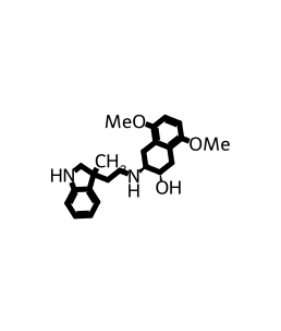 COc1ccc(OC)c2c1C[C@H](NCCC1(C)CNc3ccccc31)[C@@H](O)C2